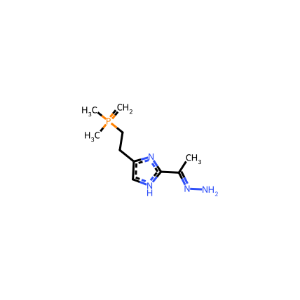 C=P(C)(C)CCc1c[nH]c(/C(C)=N/N)n1